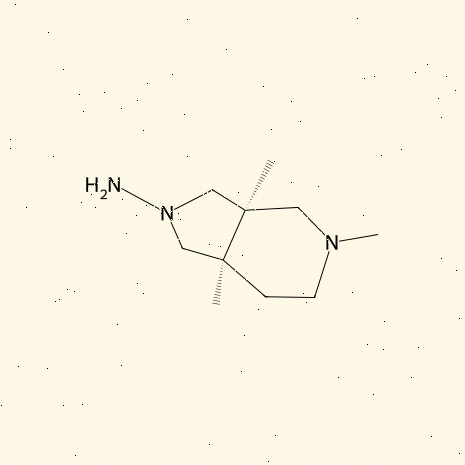 CN1CC[C@@]2(C)CN(N)C[C@@]2(C)C1